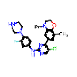 Cc1cc(-c2nc(Nc3ccc(N4CCNCC4)c(F)c3)ncc2Cl)cc2c1OCCN2C(C)C